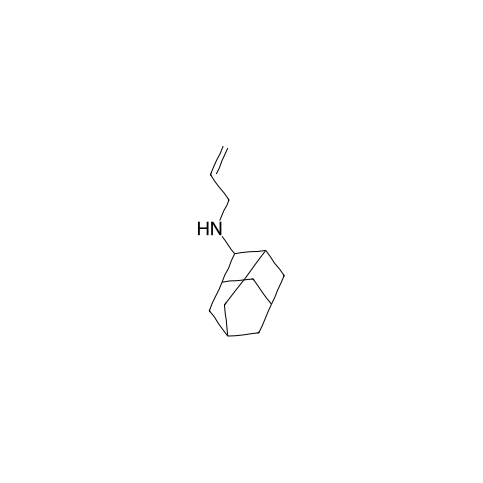 C=CCNC1C2CC3CC(C2)CC1C3